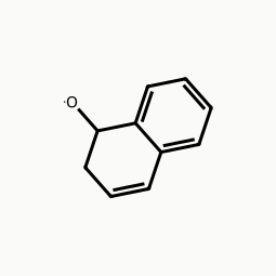 [O]C1CC=Cc2ccccc21